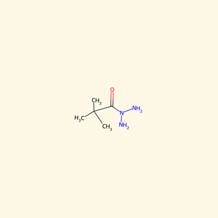 CC(C)(C)C(=O)N(N)N